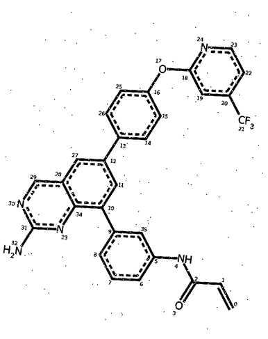 C=CC(=O)Nc1cccc(-c2cc(-c3ccc(Oc4cc(C(F)(F)F)ccn4)cc3)cc3cnc(N)nc23)c1